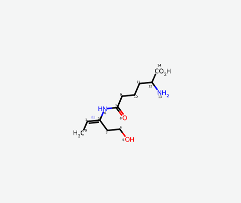 C/C=C(\CCO)NC(=O)CCCC(N)C(=O)O